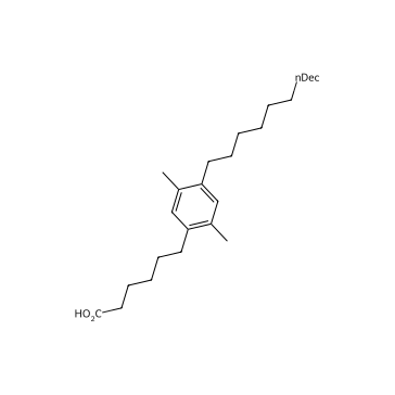 CCCCCCCCCCCCCCCCc1cc(C)c(CCCCCC(=O)O)cc1C